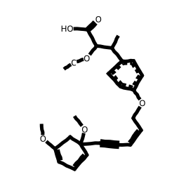 CCOC(C(=O)O)C(C)c1ccc(OC/C=C\C#CC2(OC)C=CC=C(OC)C2)cc1